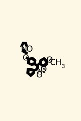 COc1ccc(C(=C(c2ccccc2)[N+](=O)[O-])c2ccc(OCCN3CCCC3=O)cc2)cc1